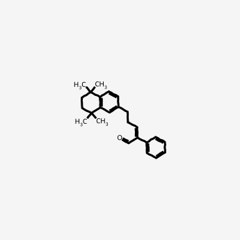 CC1(C)CCC(C)(C)c2cc(CC/C=C(\C=O)c3ccccc3)ccc21